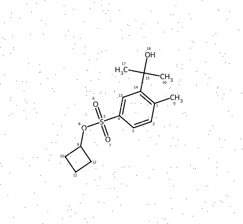 Cc1ccc(S(=O)(=O)OC2CCC2)cc1C(C)(C)O